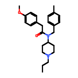 CCCN1CCC(N(Cc2ccc(C)cc2)C(=O)Cc2ccc(OC)cc2)CC1